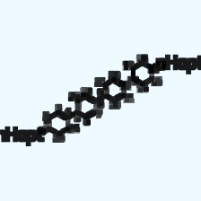 CCCCCCCC1CC=C(c2ccc(-c3ccc([C@H]4CC[C@H](CCCCCCC)CC4)cc3)cc2)CC1